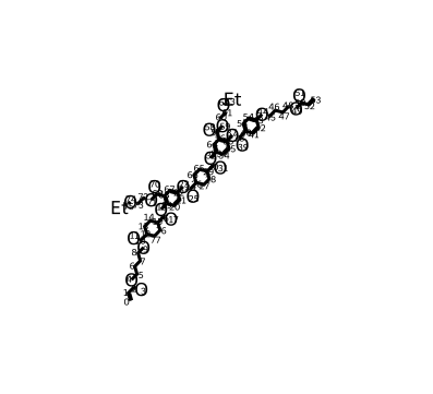 C=CC(=O)OCCCCOC(=O)C1CCC(C(=O)Oc2ccc(OC(=O)C3CCC(C(=O)Oc4ccc(OC(=O)c5ccc(OCCCCOC(=O)C=C)cc5)c(C(=O)OCCOCC)c4)CC3)cc2C(=O)OCCOCC)CC1